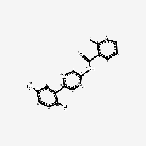 Cc1ncccc1C(=O)Nc1cnc(-c2cc(C(F)(F)F)ccc2Cl)cn1